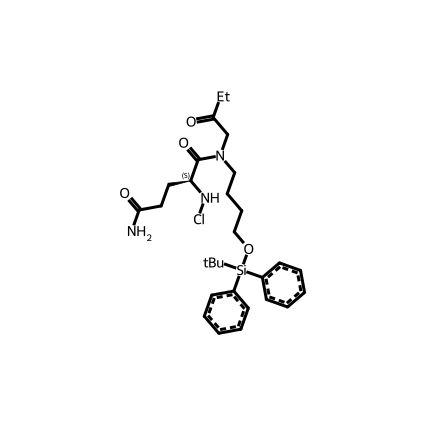 CCC(=O)CN(CCCCO[Si](c1ccccc1)(c1ccccc1)C(C)(C)C)C(=O)[C@H](CCC(N)=O)NCl